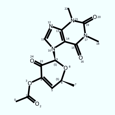 CC(=O)OC1=C[C@H](C)O[C@H](n2cnc3c2c(=O)n(C)c(=O)n3C)C1=O